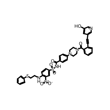 O=C(NS(=O)(=O)c1ccc(NCCSc2ccccc2)c([N+](=O)[O-])c1)c1ccc(N2CCN(C(=O)c3ccccc3C#Cc3cncc(O)c3)CC2)cc1